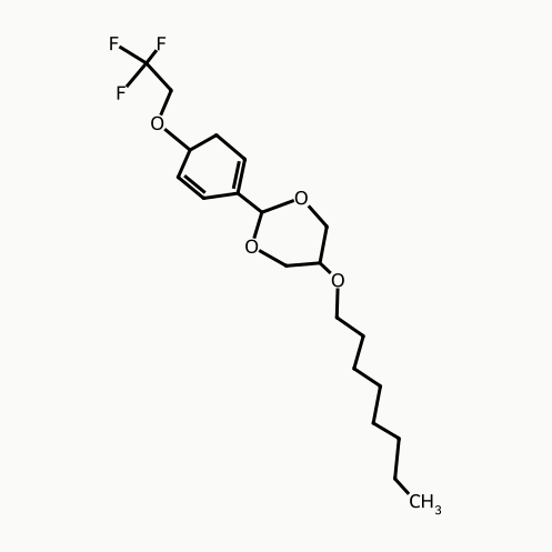 CCCCCCCCOC1COC(C2=CCC(OCC(F)(F)F)C=C2)OC1